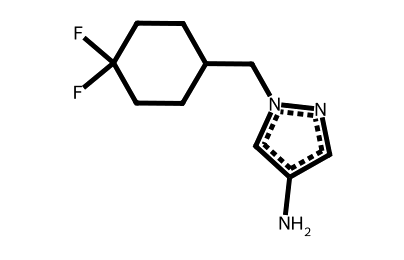 Nc1cnn(CC2CCC(F)(F)CC2)c1